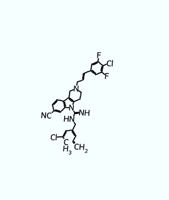 C=C/C=C(\C=C(/C)Cl)CNC(=N)n1c2c(c3ccc(C#N)cc31)CN(C/C=C/c1cc(F)c(Cl)c(F)c1)CC2